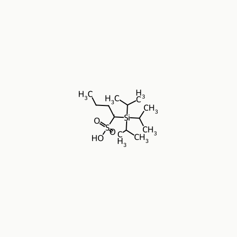 CCC[C]([Si](C(C)C)(C(C)C)C(C)C)S(=O)(=O)O